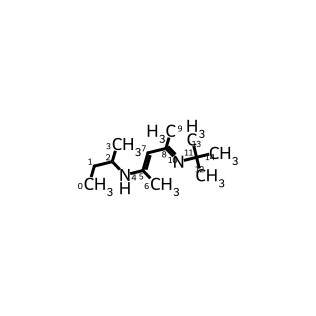 CCC(C)NC(C)=CC(C)=NC(C)(C)C